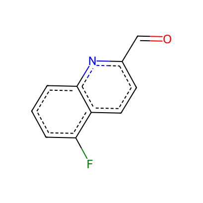 O=Cc1ccc2c(F)cccc2n1